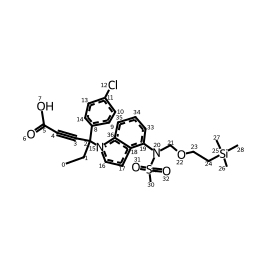 CCC(C#CC(=O)O)(c1ccc(Cl)cc1)n1ccc2c(N(COCC[Si](C)(C)C)S(C)(=O)=O)cccc21